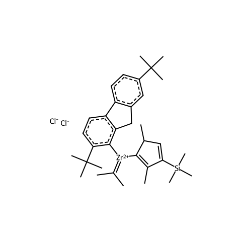 CC1=[C]([Zr+2](=[C](C)C)[c]2c(C(C)(C)C)ccc3c2Cc2cc(C(C)(C)C)ccc2-3)C(C)C=C1[Si](C)(C)C.[Cl-].[Cl-]